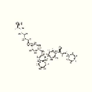 O=C(C=Cc1ccccc1)c1ccc(C2C(Cc3ccc(OCCCCCCO)cc3)=Cc3ccccc32)cc1